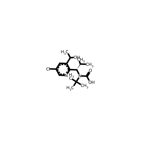 CC(O)c1cc(Cl)cnc1[C@H](C(C)C)N(C(=O)O)C(C)(C)C